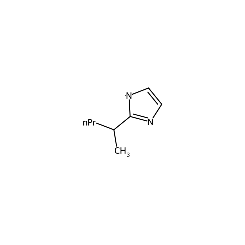 CCCC(C)C1=NC=C[N]1